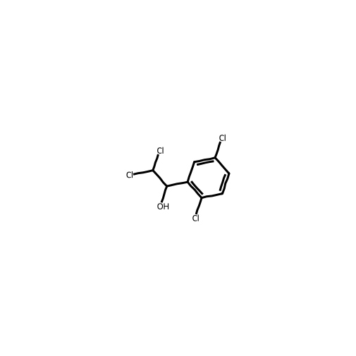 OC(c1cc(Cl)ccc1Cl)C(Cl)Cl